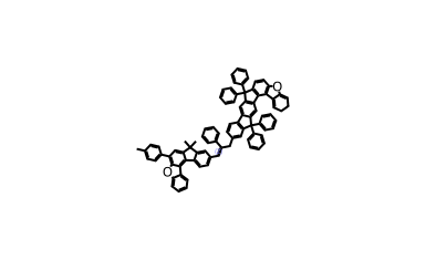 Cc1ccc(-c2cc3c(c4c2oc2ccccc24)-c2ccc(/C=C(/Cc4ccc5c(c4)C(c4ccccc4)(c4ccccc4)c4cc6c(cc4-5)C(c4ccccc4)(c4ccccc4)c4ccc5oc7c(c5c4-6)=CCCC=7)c4ccccc4)cc2C3(C)C)cc1